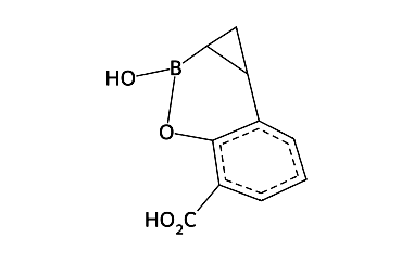 O=C(O)c1cccc2c1OB(O)C1CC21